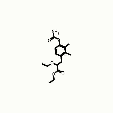 CCOC(=O)C(Cc1ccc(SC(N)=O)c(C)c1C)OCC